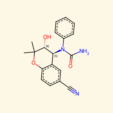 CC1(C)Oc2ccc(C#N)cc2[C@H](N(C(N)=O)c2ccccc2)[C@H]1O